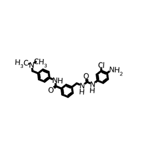 CN(C)Cc1ccc(NC(=O)c2cccc(CNC(=O)Nc3ccc(N)c(Cl)c3)c2)cc1